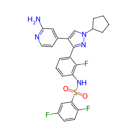 Nc1cc(-c2cn(C3CCCC3)nc2-c2cccc(NS(=O)(=O)c3cc(F)ccc3F)c2F)ccn1